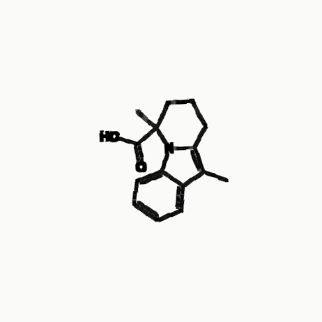 Cc1c2n(c3ccccc13)C(C)(C(=O)O)CCC2